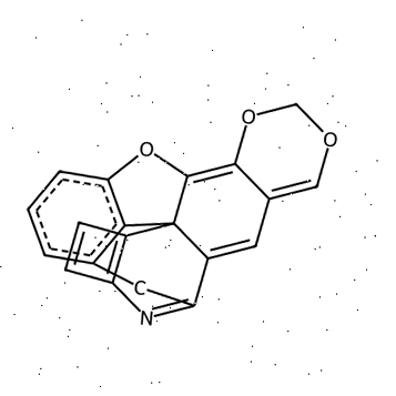 C1=CC2=C1N=C1Cc3cccc4c3C23C1=CC1=COCOC1=C3O4